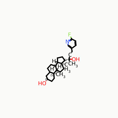 CC(O)(CCc1ccc(F)nc1)[C@H]1CC[C@H]2[C@@H]3CCC4C[C@@H](O)CC[C@]4(C)[C@H]3CC[C@]12C